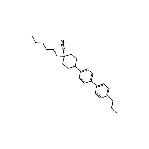 CCCCCCC1(C#N)CCC(c2ccc(-c3ccc(CCC)cc3)cc2)CC1